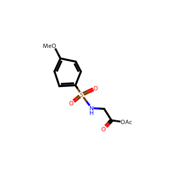 COc1ccc(S(=O)(=O)NCC(=O)OC(C)=O)cc1